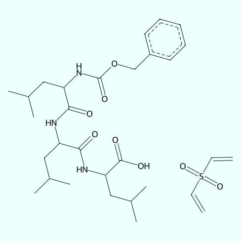 C=CS(=O)(=O)C=C.CC(C)CC(NC(=O)C(CC(C)C)NC(=O)C(CC(C)C)NC(=O)OCc1ccccc1)C(=O)O